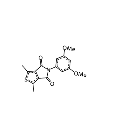 COc1cc(OC)cc(N2C(=O)c3c(C)sc(C)c3C2=O)c1